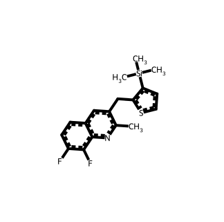 Cc1nc2c(F)c(F)ccc2cc1Cc1sccc1[Si](C)(C)C